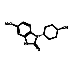 COc1ccc2c(c1)[nH]c(=O)n2[C@H]1CC[C@H](O)CC1